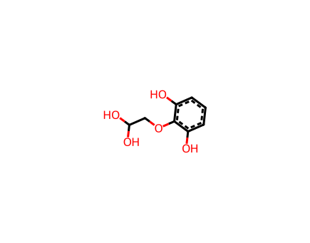 Oc1cccc(O)c1OCC(O)O